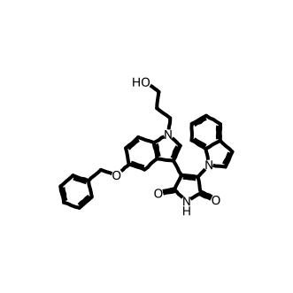 O=C1NC(=O)C(n2ccc3ccccc32)=C1c1cn(CCCO)c2ccc(OCc3ccccc3)cc12